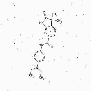 CCN(CC)c1ccc(NC(=O)c2ccc3c(c2)NC(=O)C3(C)C)cc1